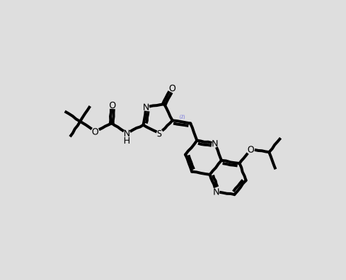 CC(C)Oc1ccnc2ccc(/C=C3\SC(NC(=O)OC(C)(C)C)=NC3=O)nc12